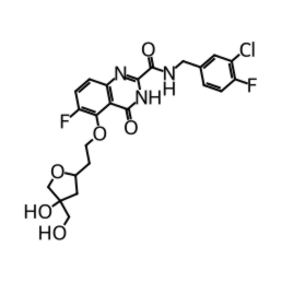 O=C(NCc1ccc(F)c(Cl)c1)c1nc2ccc(F)c(OCCC3CC(O)(CO)CO3)c2c(=O)[nH]1